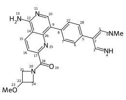 CN/C=C(\C=N)c1ccc(-c2cnc(N)c3ccc(C(=O)N4CC(OC)C4)nc23)cc1